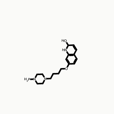 OC1C=Cc2ccc(OCCCCN3CCN(P)CC3)cc2N1